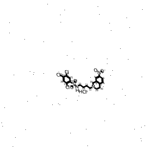 Cl.O=[N+]([O-])c1ccc2c(c1)CN(CCCCNS(=O)(=O)c1cc(Cl)c(Cl)cc1Cl)CC2